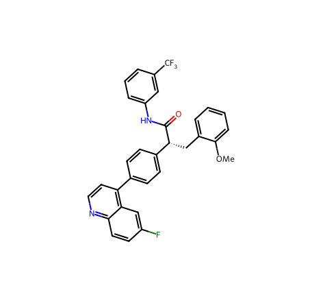 COc1ccccc1C[C@@H](C(=O)Nc1cccc(C(F)(F)F)c1)c1ccc(-c2ccnc3ccc(F)cc23)cc1